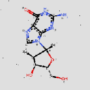 [2H][C@@H]1[C@H](O)[C@@H](CO)O[C@@]1([2H])n1cnc2c(=O)[nH]c(N)nc21